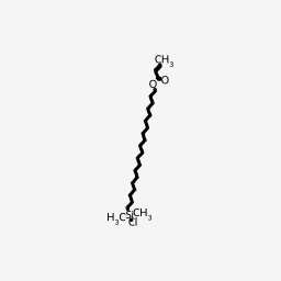 CC=CC(=O)OCCCCCCCCCCCCCCCCCCCC[Si](C)(C)Cl